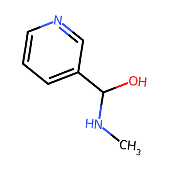 CNC(O)c1cccnc1